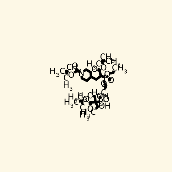 CCC(CC)(C(=O)OC(C)(C)C)P(=O)(O)O.CCOP(=O)(OCC)C(CC1CCN(C(=O)OC(C)(C)C)CC1)C(=O)OC(C)(C)C